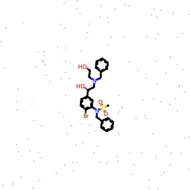 CS(=O)(=O)N(Cc1ccccc1)c1cc([C@@H](O)CN(CCO)Cc2ccccc2)ccc1Br